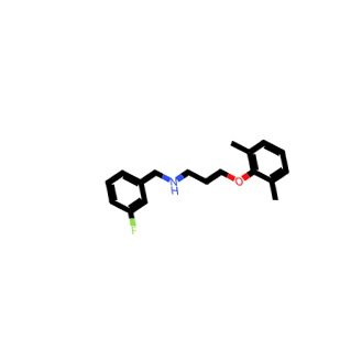 Cc1cccc(C)c1OCCCNCc1cccc(F)c1